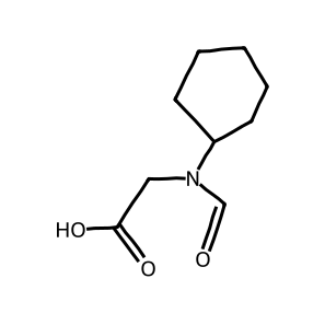 O=CN(CC(=O)O)C1CCCCC1